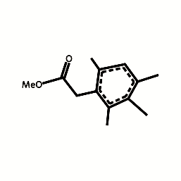 COC(=O)Cc1c(C)cc(C)c(C)c1C